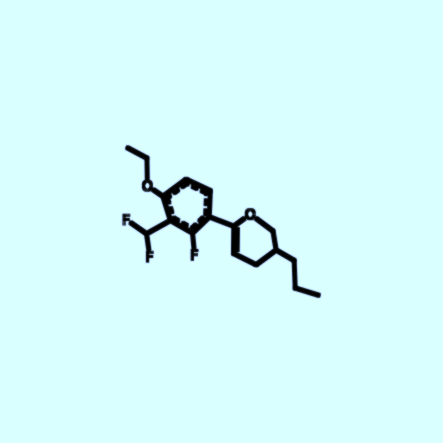 CCCC1CC=C(c2ccc(OCC)c(C(F)F)c2F)OC1